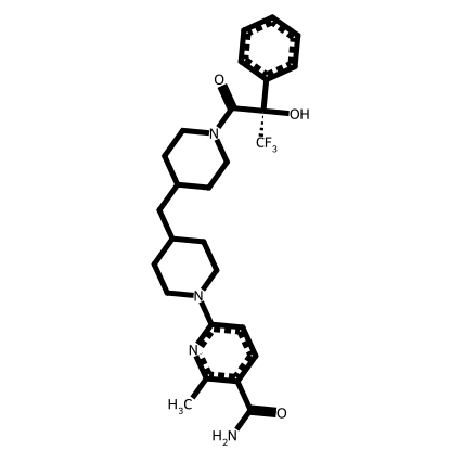 Cc1nc(N2CCC(CC3CCN(C(=O)[C@](O)(c4ccccc4)C(F)(F)F)CC3)CC2)ccc1C(N)=O